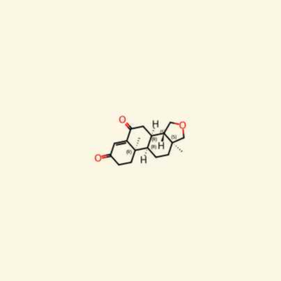 C[C@]12CC[C@@H]3[C@@H](CC(=O)C4=CC(=O)CC[C@@]43C)[C@@H]1COC2